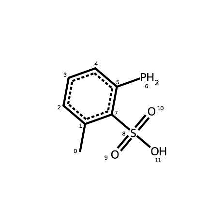 Cc1cccc(P)c1S(=O)(=O)O